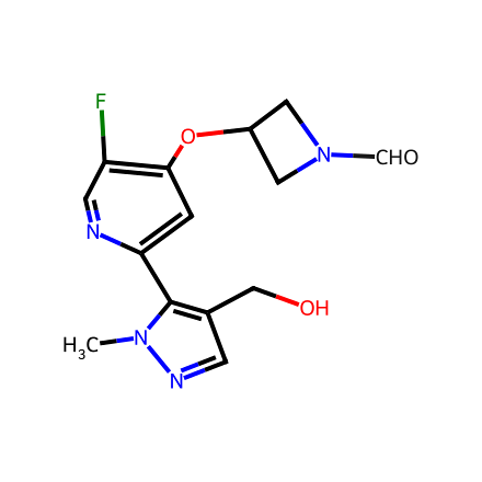 Cn1ncc(CO)c1-c1cc(OC2CN(C=O)C2)c(F)cn1